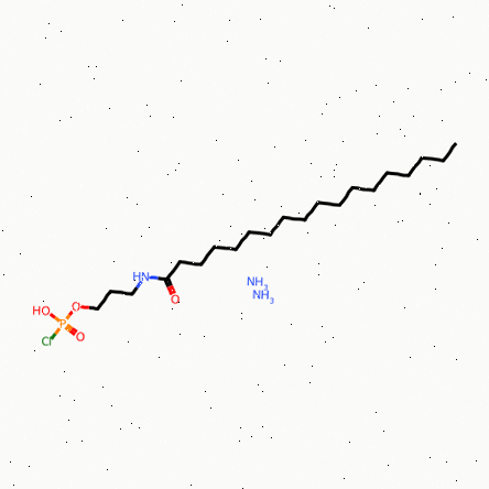 CCCCCCCCCCCCCCCCCC(=O)NCCCOP(=O)(O)Cl.N.N